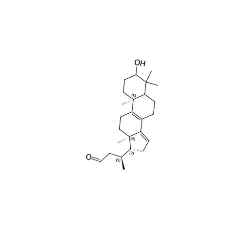 C[C@@H](CC=O)[C@H]1CC=C2C3=C(CC[C@@]21C)[C@@]1(C)CCC(O)C(C)(C)C1CC3